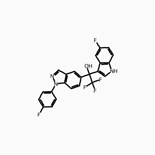 OC(c1ccc2c(cnn2-c2ccc(F)cc2)c1)(c1c[nH]c2ccc(F)cc12)C(F)(F)F